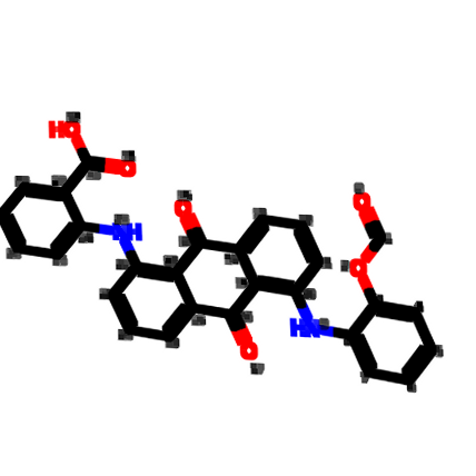 O=COc1ccccc1Nc1cccc2c1C(=O)c1cccc(Nc3ccccc3C(=O)O)c1C2=O